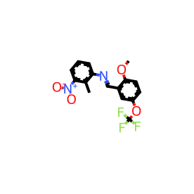 COc1ccc(OC(F)(F)F)cc1C=Nc1cccc([N+](=O)[O-])c1C